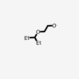 CCC(CC)OCC[O]